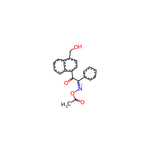 CC(=O)O/N=C(\C(=O)c1ccc(CO)c2ccccc12)c1ccccc1